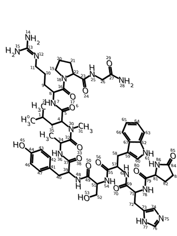 CC(C)CC(C(=O)NC(CCCN=C(N)N)C(=O)N1CCCC1C(=O)NCC(N)=O)N(C)C(=O)C(C)NC(=O)C(Cc1ccc(O)cc1)NC(=O)C(CO)NC(=O)C(Cc1c[nH]c2ccccc12)NC(=O)C(Cc1cnc[nH]1)NC(=O)C1CCC(=O)N1